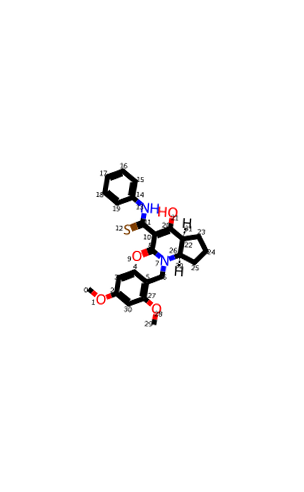 COc1ccc(CN2C(=O)C(C(=S)Nc3ccccc3)=C(O)[C@H]3CCC[C@H]32)c(OC)c1